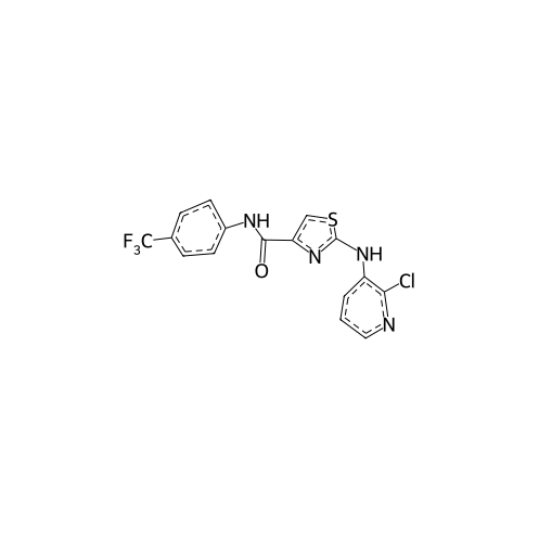 O=C(Nc1ccc(C(F)(F)F)cc1)c1csc(Nc2cccnc2Cl)n1